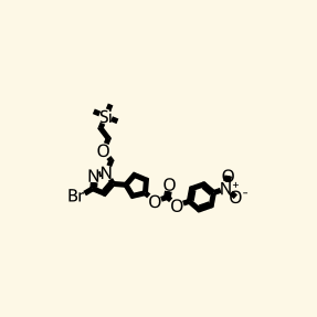 C[Si](C)(C)CCOCn1nc(Br)cc1C1CCC(OC(=O)Oc2ccc([N+](=O)[O-])cc2)C1